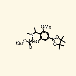 COc1cc(B2OC(C)(C)C(C)(C)O2)cc(OC)c1C(C)N(C)CC(=O)OC(C)(C)C